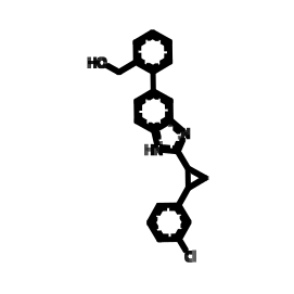 OCc1ccccc1-c1ccc2[nH]c(C3CC3c3cccc(Cl)c3)nc2c1